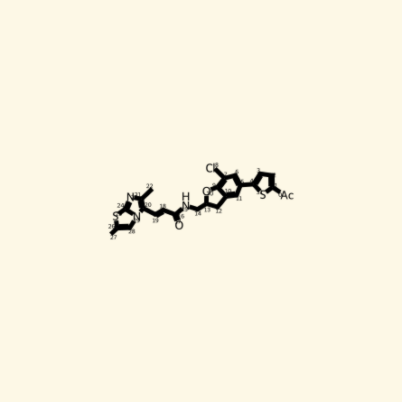 CC(=O)c1ccc(-c2cc(Cl)c3c(c2)CC(CNC(=O)/C=C/c2c(C)nc4sc(C)cn24)O3)s1